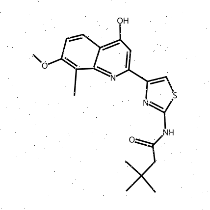 COc1ccc2c(O)cc(-c3csc(NC(=O)CC(C)(C)C)n3)nc2c1C